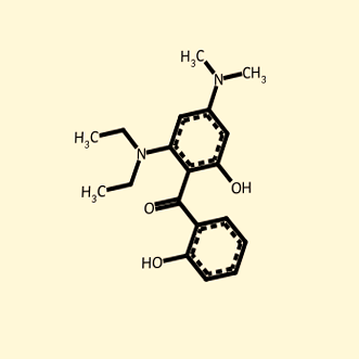 CCN(CC)c1cc(N(C)C)cc(O)c1C(=O)c1ccccc1O